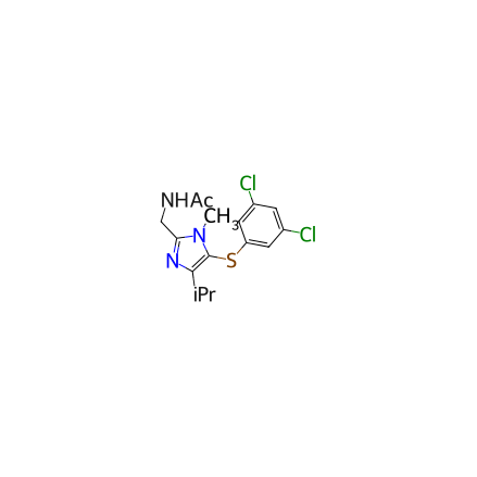 CC(=O)NCc1nc(C(C)C)c(Sc2cc(Cl)cc(Cl)c2)n1C